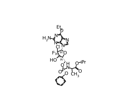 CCOc1nc(N)nc2c1ncn2[C@@H]1O[C@H](COP(=O)(NC(C)C(=O)OC(C)C)Oc2ccccc2)[C@@H](O)[C@@]1(F)Cl